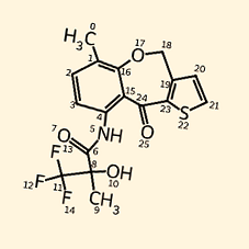 Cc1ccc(NC(=O)C(C)(O)C(F)(F)F)c2c1OCc1ccsc1C2=O